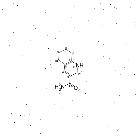 NC(=O)C1=CC2=C(CCCC2)NC1